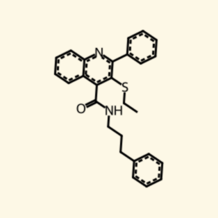 CCSc1c(-c2ccccc2)nc2ccccc2c1C(=O)NCCCc1ccccc1